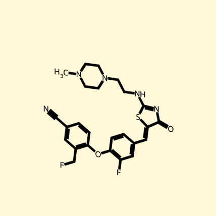 CN1CCN(CCNC2=NC(=O)/C(=C/c3ccc(Oc4ccc(C#N)cc4CF)c(F)c3)S2)CC1